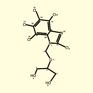 OCC(CO)OCn1c(Cl)nc2c(Cl)c(Cl)c(Cl)c(Cl)c21